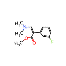 COC(=O)C(=CN(C)C)c1cccc(F)c1